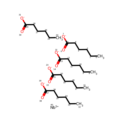 CCCCCC(=O)[O-].CCCCCC(=O)[O-].CCCCCC(=O)[O-].CCCCCC(=O)[O-].CCCCCC(=O)[O-].[Nb+5]